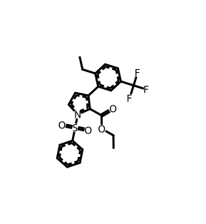 CCOC(=O)c1c(-c2cc(C(F)(F)F)ccc2CC)ccn1S(=O)(=O)c1ccccc1